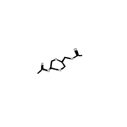 CC(=O)OCC1COC(OC(C)=O)CO1